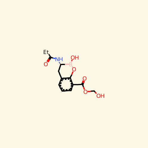 CCC(=O)N[C@H]1Cc2cccc(C(=O)OCO)c2OB1O